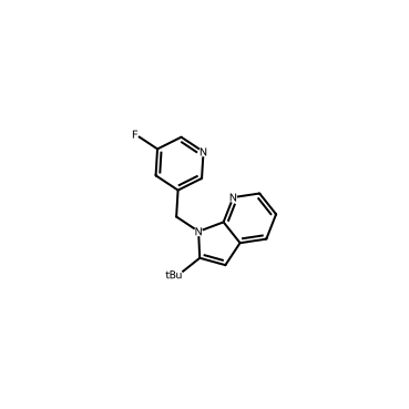 CC(C)(C)c1cc2cccnc2n1Cc1cncc(F)c1